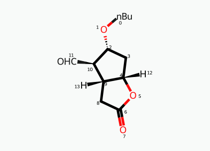 CCCCO[C@@H]1C[C@@H]2OC(=O)C[C@@H]2[C@H]1C=O